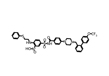 O=C(NS(=O)(=O)c1ccc(NCCSc2ccccc2)c([N+](=O)O)c1)c1ccc(N2CCN(Cc3ccccc3-c3ccc(OC(F)(F)F)cc3)CC2)cc1